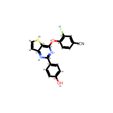 N#Cc1ccc(Oc2nc(-c3ccc(O)cc3)nc3ccsc23)c(F)c1